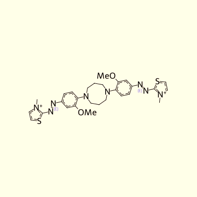 COc1cc(/N=N/c2scc[n+]2C)ccc1N1CCCN(c2ccc(/N=N/c3scc[n+]3C)cc2OC)CCC1